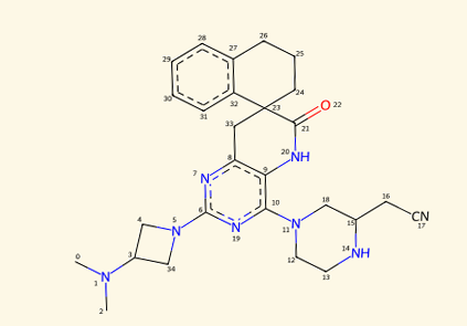 CN(C)C1CN(c2nc3c(c(N4CCNC(CC#N)C4)n2)NC(=O)C2(CCCc4ccccc42)C3)C1